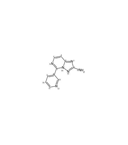 Nc1nc2ccnc(-c3cccnc3)n2n1